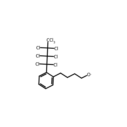 [O]CCCCc1ccccc1C(Cl)(Cl)C(Cl)(Cl)C(Cl)(Cl)C(Cl)(Cl)Cl